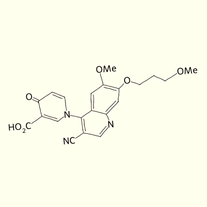 COCCCOc1cc2ncc(C#N)c(-n3ccc(=O)c(C(=O)O)c3)c2cc1OC